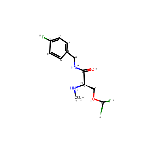 O=C(O)N[C@H](COC(F)F)C(=O)NCc1ccc(F)cc1